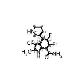 Cc1[nH]c2c(C(N)=O)c(F)c(F)c(C3=CCCNC3)c2c1Cl